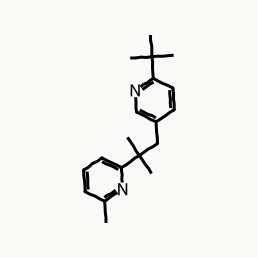 Cc1cccc(C(C)(C)Cc2ccc(C(C)(C)C)nc2)n1